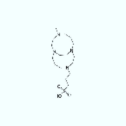 CN1CCCN2CCN(CCCS(=O)(=O)O)CCCN(CC1)CC2